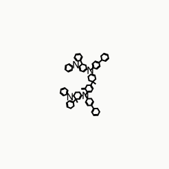 C=C1CC(C2(C)CC=C(N(C3=CC=C4C(C3)c3ccccc3N4c3ccccc3)c3ccc(C4C=CC=CC4)cc3)CC2)=CC=C1N(C1=CC2(C)C3=C(C=CCC3)N(c3ccccc3)C2CC1)C1C=CC(C2=CC=CCC2)=CC1